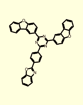 c1ccc2oc(-c3ccc(-c4nc(-c5ccc6oc7ccccc7c6c5)nc(-c5ccc6oc7ccccc7c6c5)n4)cc3)nc2c1